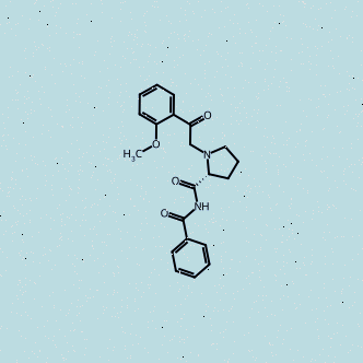 COc1ccccc1C(=O)CN1CCC[C@@H]1C(=O)NC(=O)c1ccccc1